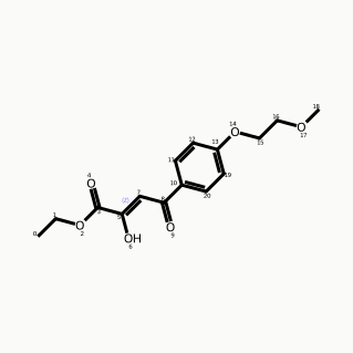 CCOC(=O)/C(O)=C/C(=O)c1ccc(OCCOC)cc1